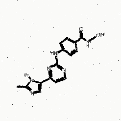 Cc1ncc(-c2ccnc(Nc3ccc(C(=O)NO)cc3)n2)n1C(C)C